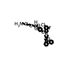 CC(C)(C)[Si](O[C@@H]1CCN([C@H]2Cc3c(F)cc(Cl)cc3C2Oc2ccc(S(=O)(=O)NCCOCCOCCN)cc2)C1)(c1ccccc1)c1ccccc1